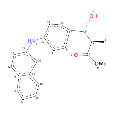 COC(=O)[C@H](C)[C@@H](O)c1ccc(Nc2ccc3ccccc3c2)cc1